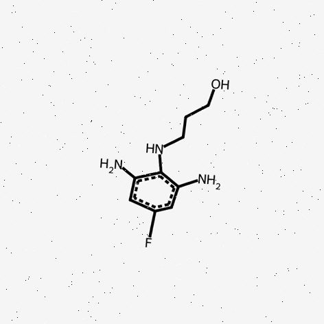 Nc1cc(F)cc(N)c1NCCCO